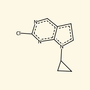 Clc1ncc2ccn(C3CC3)c2n1